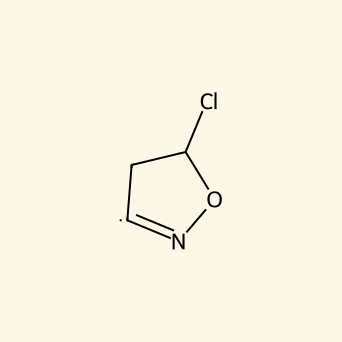 ClC1C[C]=NO1